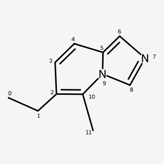 CCc1ccc2cncn2c1C